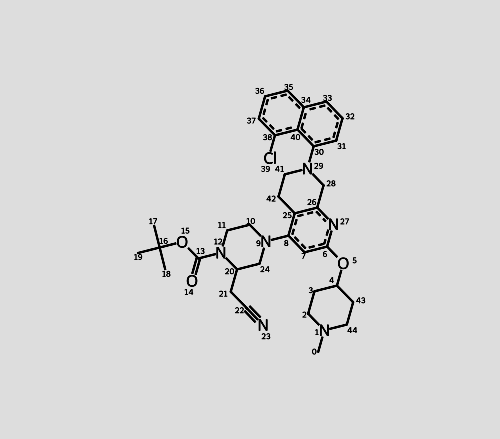 CN1CCC(Oc2cc(N3CCN(C(=O)OC(C)(C)C)C(CC#N)C3)c3c(n2)CN(c2cccc4cccc(Cl)c24)CC3)CC1